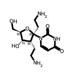 NCC[C@@H]1[C@H](O)[C@@H](CO)O[C@@]1(CCN)n1ccc(=O)[nH]c1=O